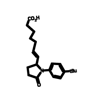 CC(C)(C)c1ccc(N2C(=O)CCC2C=CCCCCC(=O)O)cc1